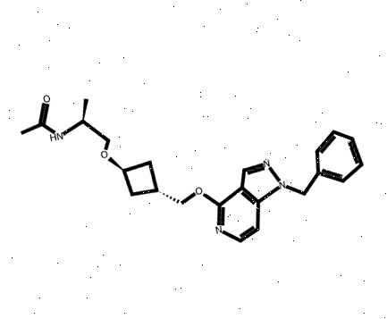 CC(=O)N[C@@H](C)CO[C@H]1C[C@H](COc2nccc3c2cnn3Cc2ccccc2)C1